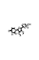 COC1C(C(C)OP(=O)(O)O)OC(n2ccc(=O)[nH]c2=O)C1OC